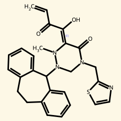 C=CC(=O)/C(O)=C1/C(=O)N(Cc2nccs2)CN(C2c3ccccc3CCc3ccccc32)N1C